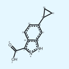 O=C(O)c1n[nH]c2cc(C3CC3)ccc12